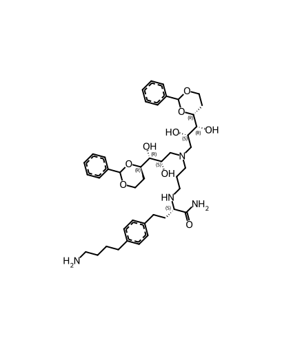 NCCCCc1ccc(CC[C@H](NCCCN(C[C@H](O)[C@@H](O)[C@H]2CCOC(c3ccccc3)O2)C[C@H](O)[C@@H](O)[C@H]2CCOC(c3ccccc3)O2)C(N)=O)cc1